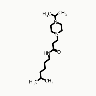 CC(C)CCCCNC(=O)CCN1CCN(C(C)C)CC1